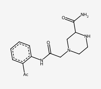 CC(=O)c1ccccc1NC(=O)CN1CCNC(C(N)=O)C1